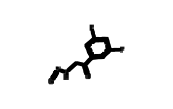 O=NNCC(=O)c1cc(F)cc(F)c1